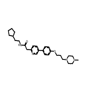 CN1CCN(CCCOc2ccc(-c3ccc(CC(=O)NCCC4CCCC4)nc3)cc2)CC1